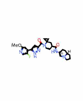 COc1cc(-c2cc(C(=O)N3CCC(C(=O)N[C@H]4CC[C@H]5CCCN5C4)CC34CC4)n[nH]2)c(F)cn1